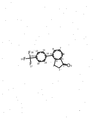 O=C1CCc2c1cccc2-c1ccc(C(F)(F)F)cc1